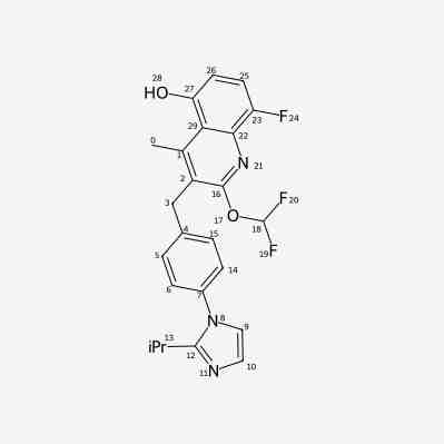 Cc1c(Cc2ccc(-n3ccnc3C(C)C)cc2)c(OC(F)F)nc2c(F)ccc(O)c12